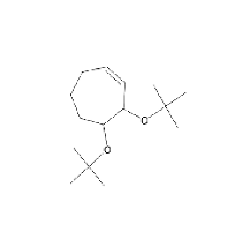 CC(C)(C)OC1C=CCCCC1OC(C)(C)C